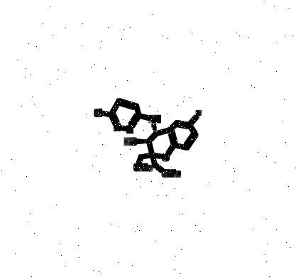 COCC1(COC)Oc2ccc(F)cc2[C@@H](Nc2ccc(Cl)nn2)[C@@H]1O